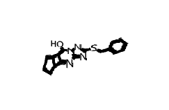 Oc1c2c(nc3nc(SCc4ccccc4)nn13)C1CCCC21